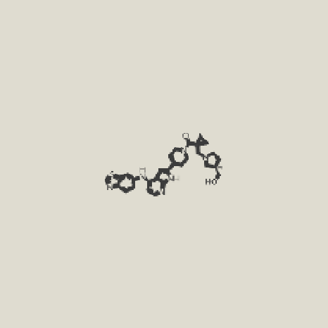 O=C(N1CC=C(c2cc3c(Nc4ccc5ncsc5c4)ccnc3[nH]2)CC1)C1(CN2CC[C@@H](CO)C2)CC1